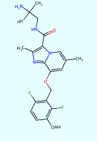 CCCC(C)(N)CNC(=O)c1c(C)nc2c(OCc3c(F)ccc(OC)c3F)cc(C)cn12